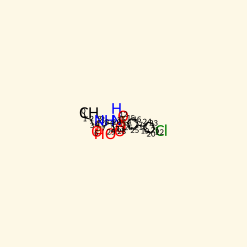 CCCCS(=N)(=O)CCC(NS(=O)(=O)c1ccc(-c2ccc(Cl)cc2)cc1)C(=O)O